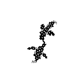 Cc1cc2c(cc1CCc1cc3c(cc1C)-c1ccc4c5c(Oc6ccc(C(C)(C)C)cc6)cc6c7c(cc(Oc8ccc(C(C)(C)C)cc8)c(c8ccc-3c1c48)c75)C(=O)N(c1c(C(C)C)cc(S)cc1C(C)C)C6=O)-c1ccc3c4c(Oc5ccc(C(C)(C)C)cc5)cc5c6c(cc(Oc7ccc(C(C)(C)C)cc7)c(c7ccc-2c1c73)c64)C(=O)N(c1c(C(C)C)cc(S)cc1C(C)C)C5=O